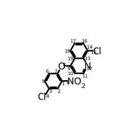 O=[N+]([O-])c1cc(Cl)ccc1Oc1ccnc2c(Cl)cccc12